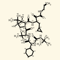 C=CCNC(=O)C(=O)C(CC1CC1)NC(=O)[C@@H]1[C@@H]2[C@H](CN1C(=O)[C@@H](NC(=O)[C@@H](NC(=O)NC(C)(C)C)C1CCCCC1)C(C)(C)C)C2(C)C